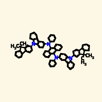 CC1(C)c2ccccc2-c2ccc(-n3c4ccccc4c4cc(N(c5ccccc5)c5c6ccccc6c(N(c6ccccc6)c6ccc7c(c6)c6ccccc6n7-c6ccc7c(c6)C(C)(C)c6ccccc6-7)c6ccccc56)ccc43)cc21